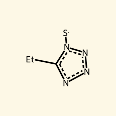 CCc1nnnn1[S]